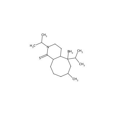 BC1(C(C)C)CC(C)CCCC2C(=S)N(C(C)C)CCC21